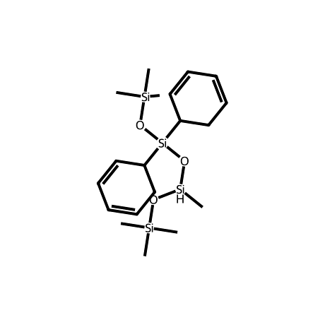 C[SiH](O[Si](C)(C)C)O[Si](O[Si](C)(C)C)(C1C=CC=CC1)C1C=CC=CC1